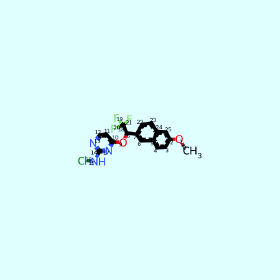 COc1ccc2cc(C(Oc3ccnc(NCl)n3)C(F)(F)F)ccc2c1